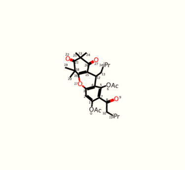 CC(=O)Oc1cc2c(c(OC(C)=O)c1C(=O)CC(C)C)C(CC(C)C)C1=C(O2)C(C)(C)C(=O)C(C)(C)C1=O